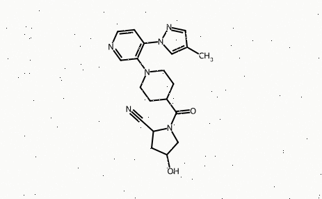 Cc1cnn(-c2ccncc2N2CCC(C(=O)N3CC(O)CC3C#N)CC2)c1